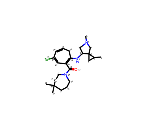 CC1CC12CN(C)CC2NC1=C(C(=O)N2CCCC(C)(C)CC2)C=C(Br)C=CC1